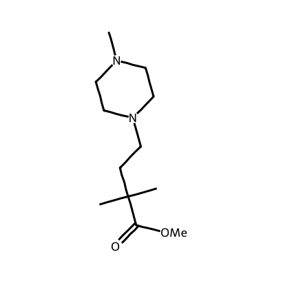 COC(=O)C(C)(C)CCN1CCN(C)CC1